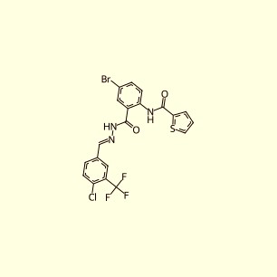 O=C(Nc1ccc(Br)cc1C(=O)NN=Cc1ccc(Cl)c(C(F)(F)F)c1)c1cccs1